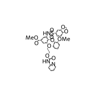 COC(=O)c1cc(NS(=O)(=O)c2ccc3c(c2)OCO3)c(Oc2ccccc2OC)c(OCCOC(=O)Nc2ccccn2)c1